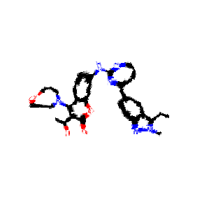 CCc1c2cc(-c3ccnc(Nc4ccc5c(N6CCOCC6)c(C(C)=O)c(=O)oc5c4)n3)ccc2nn1C